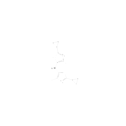 Cc1nc(C2CC2)oc1C(=O)c1oc(C2CC2)nc1C